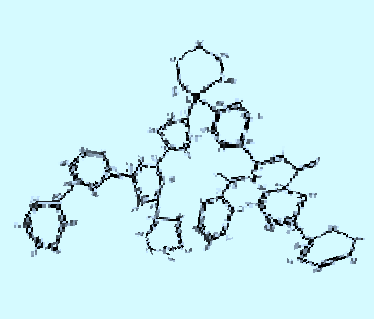 C=C(/C=C(\N=C(/C)c1ccccc1)c1ccc(C2(c3ccc(-c4cc(-c5cccc(-c6ccccc6)c5)nc(C5=CCCC=C5)n4)cc3)CCCCC2)cc1)c1cccc(C2=CC=CCC2)c1